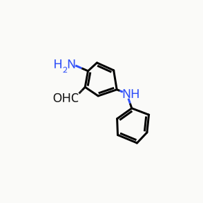 Nc1ccc(Nc2ccccc2)cc1C=O